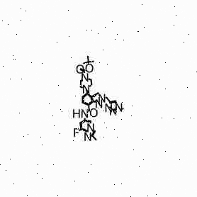 Cc1cn2cc(NC(=O)c3ccc(N4CCN(C(=O)OC(C)(C)C)CC4)c4cn(Cc5cn(C)nn5)nc34)cc(F)c2n1